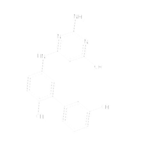 Cc1cccc(-c2cc(Nc3cc(C)nc(N)n3)ccc2C)c1